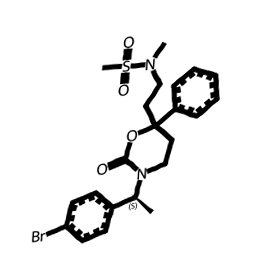 C[C@@H](c1ccc(Br)cc1)N1CCC(CCN(C)S(C)(=O)=O)(c2ccccc2)OC1=O